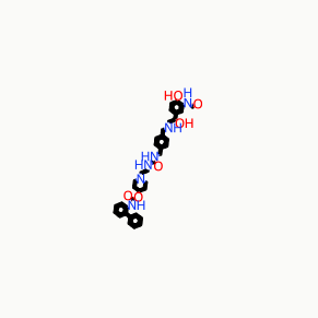 O=CNc1cc(C(O)CNCc2ccc(CNC(=O)NCCN3CCC(OC(=O)Nc4ccccc4-c4ccccc4)CC3)cc2)ccc1O